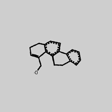 [O]CC1=CCCc2ccc3c(c21)CCc1ccccc1-3